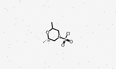 CC1CN(S(=O)(=O)Cl)C[C@H](C)O1